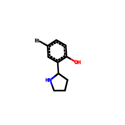 CCc1ccc(O)c(C2CCCN2)c1